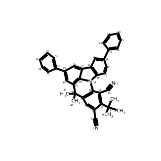 CC(C)(C)c1c(C#N)cc2c(c1C#N)-n1c3ccc(-c4ccccc4)cc3c3cc(-c4ccccc4)cc(c31)C2(C)C